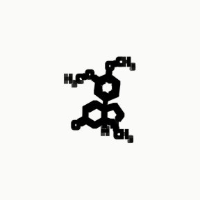 COc1ccc([C@]23C=CC(=O)C[C@H]2N(C)CC3)cc1OC